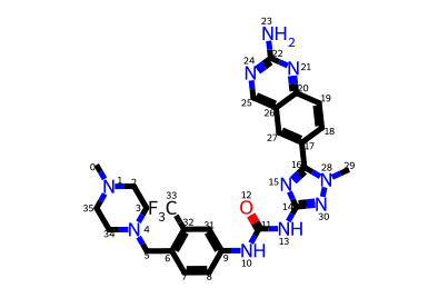 CN1CCN(Cc2ccc(NC(=O)Nc3nc(-c4ccc5nc(N)ncc5c4)n(C)n3)cc2C(F)(F)F)CC1